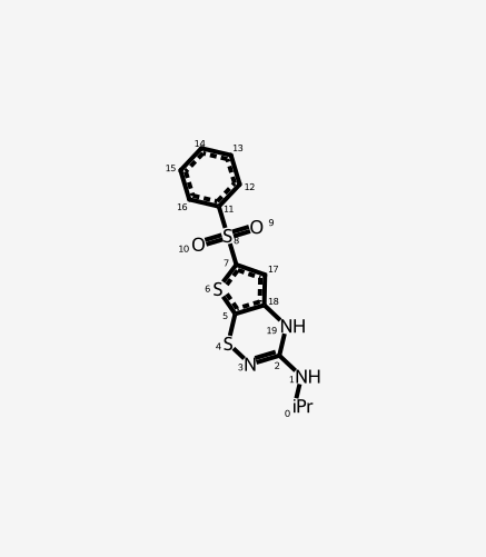 CC(C)NC1=NSc2sc(S(=O)(=O)c3ccccc3)cc2N1